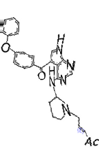 CC(=O)/C=C/CN1CCCC(Nc2ncnc3[nH]cc(C(=O)c4ccc(Oc5ccccc5)cc4)c23)C1